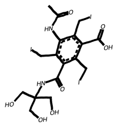 CC(=O)Nc1c(CI)c(C(=O)O)c(CI)c(C(=O)NC(CO)(CO)CO)c1CI